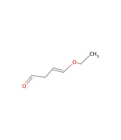 CCOC=[C]CC=O